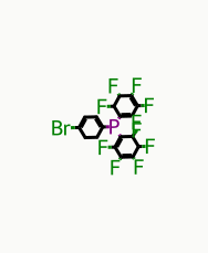 FC1=C(F)C(F)C(F)C(P(C2=CC=C(Br)CC2)C2=C(F)C(F)=C(F)C(F)C2F)=C1F